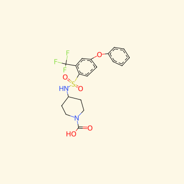 O=C(O)N1CCC(NS(=O)(=O)c2ccc(Oc3ccccc3)cc2C(F)(F)F)CC1